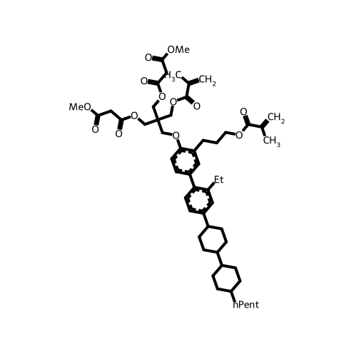 C=C(C)C(=O)OCCCc1cc(-c2ccc(C3CCC(C4CCC(CCCCC)CC4)CC3)cc2CC)ccc1OCC(COC(=O)CC(=O)OC)(COC(=O)CC(=O)OC)COC(=O)C(=C)C